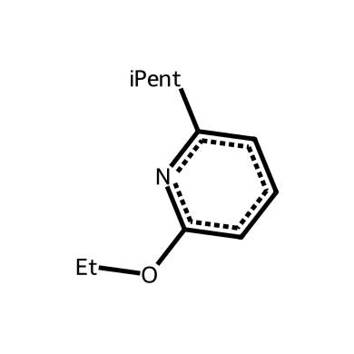 CCCC(C)c1cccc(OCC)n1